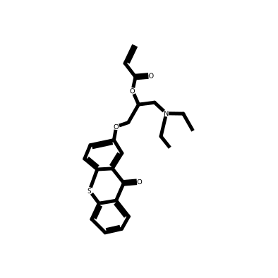 C=CC(=O)OC(COc1ccc2sc3ccccc3c(=O)c2c1)CN(CC)CC